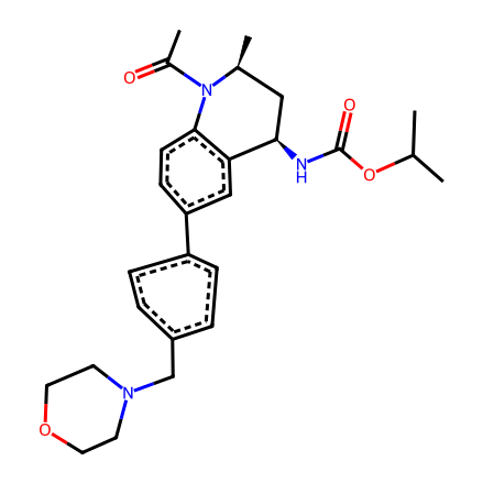 CC(=O)N1c2ccc(-c3ccc(CN4CCOCC4)cc3)cc2[C@H](NC(=O)OC(C)C)C[C@@H]1C